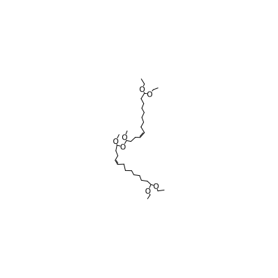 CCOC(CCCCCCC/C=C\CCC(OC)OC(CC/C=C\CCCCCCCC(OCC)OCC)OC)OCC